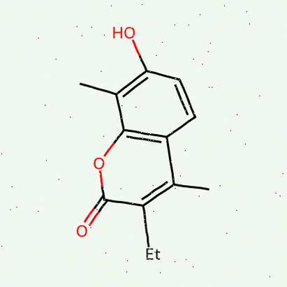 CCc1c(C)c2ccc(O)c(C)c2oc1=O